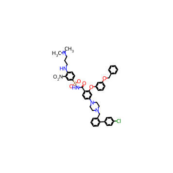 CN(C)CCCNc1ccc(S(=O)(=O)NC(=O)c2ccc(N3CCN(Cc4ccccc4-c4ccc(Cl)cc4)CC3)cc2Oc2cccc(OCc3ccccc3)c2)cc1[N+](=O)[O-]